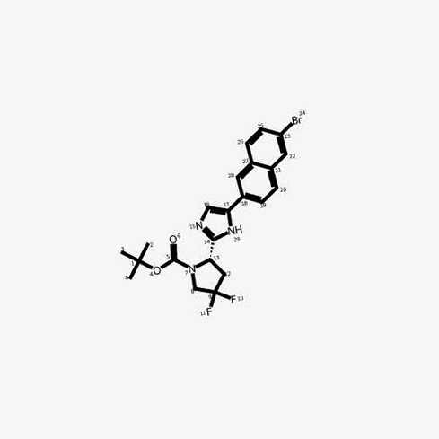 CC(C)(C)OC(=O)N1CC(F)(F)C[C@H]1c1ncc(-c2ccc3cc(Br)ccc3c2)[nH]1